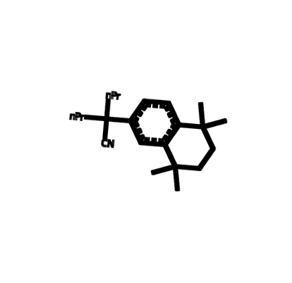 CCCC(C#N)(CCC)c1ccc2c(c1)C(C)(C)CCC2(C)C